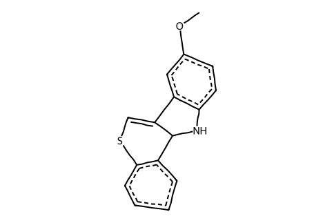 COc1ccc2c(c1)C1=CSc3ccccc3C1N2